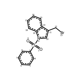 O=S(=O)(c1ccccc1)n1cc(CBr)c2ccccc21